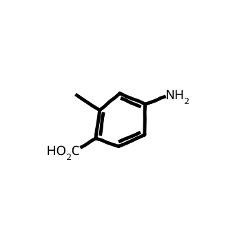 Cc1cc(N)ccc1C(=O)O